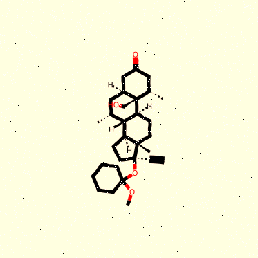 C#C[C@]1(OC2(OC)CCCCC2)CC[C@H]2[C@@H]3[C@H](C)C[C@H]4CC(=O)C[C@H](C)[C@]4(CO)[C@H]3CC[C@@]21C